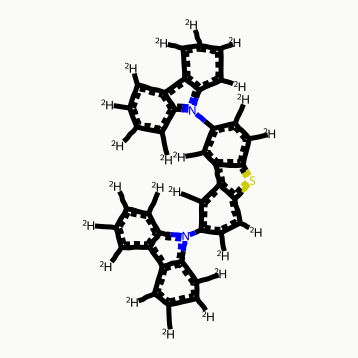 [2H]c1c(-n2c3c([2H])c([2H])c([2H])c([2H])c3c3c([2H])c([2H])c([2H])c([2H])c32)c([2H])c2c(sc3c([2H])c([2H])c(-n4c5c([2H])c([2H])c([2H])c([2H])c5c5c([2H])c([2H])c([2H])c([2H])c54)c([2H])c32)c1[2H]